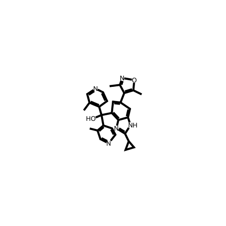 Cc1cnccc1C(O)(c1ccncc1C)c1cc(-c2c(C)noc2C)cc2[nH]c(C3CC3)nc12